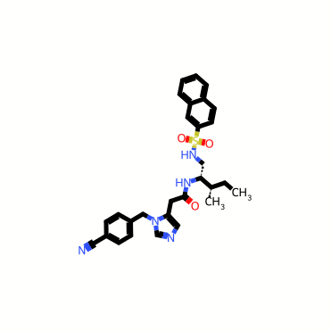 CC[C@H](C)[C@@H](CNS(=O)(=O)c1ccc2ccccc2c1)NC(=O)Cc1cncn1Cc1ccc(C#N)cc1